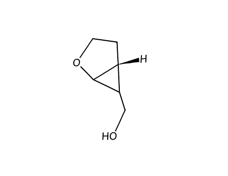 OCC1C2OCC[C@H]12